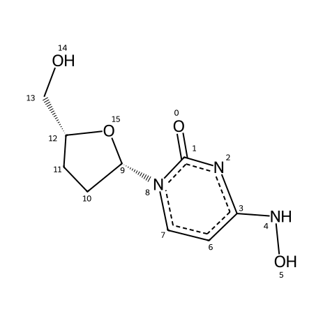 O=c1nc(NO)ccn1[C@@H]1CC[C@H](CO)O1